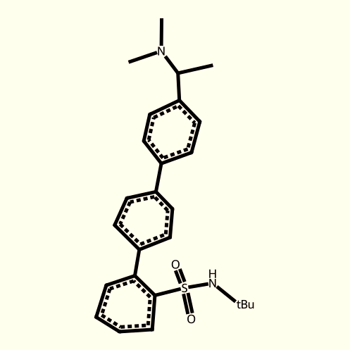 CC(c1ccc(-c2ccc(-c3ccccc3S(=O)(=O)NC(C)(C)C)cc2)cc1)N(C)C